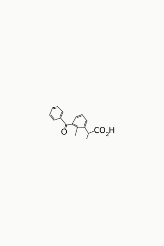 Cc1c(C(=O)c2ccccc2)cccc1C(C)C(=O)O